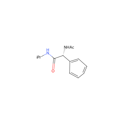 CC(=O)N[C@@H](C(=O)NC(C)C)c1ccccc1